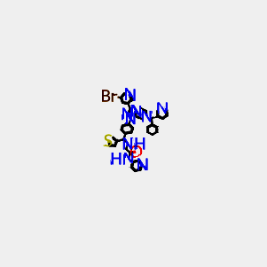 O=C(CNC(c1ccc(-[n+]2nc(-c3cncc(Br)c3)n3c2CN(C(c2ccccc2)c2cccnc2)CC3)cc1)c1ccsc1)Nc1cccnc1